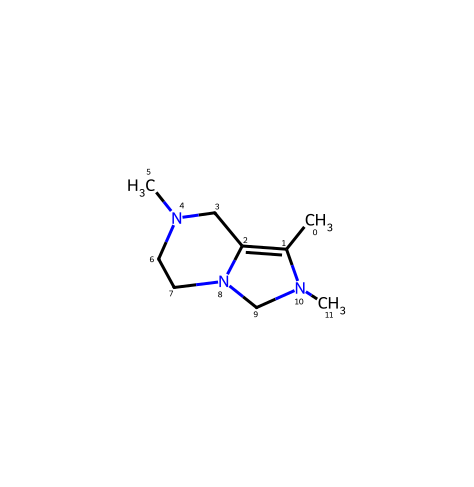 CC1=C2CN(C)CCN2CN1C